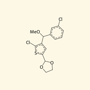 COC(c1cccc(Cl)c1)c1cc(C2OCCO2)sc1Cl